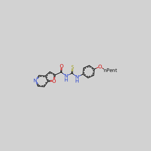 CCCCCOc1ccc(NC(=S)NC(=O)c2cc3cnccc3o2)cc1